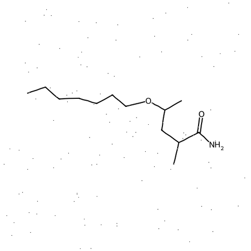 CCCCCCCOC(C)CC(C)C(N)=O